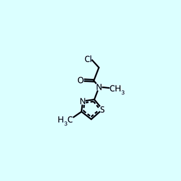 Cc1csc(N(C)C(=O)CCl)n1